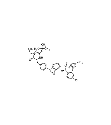 CCOC(=O)[C@H](Cc1ccc(-c2csc3c(O[C@H](c4ccc(Cl)cc4-n4ccc(C)n4)C(F)(F)F)ncnc23)cc1)NC(=O)OC(C)(C)C